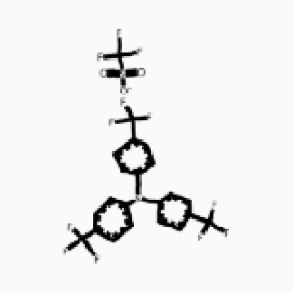 FC(F)(F)c1ccc([S+](c2ccc(C(F)(F)F)cc2)c2ccc(C(F)(F)F)cc2)cc1.O=S(=O)([O-])C(F)(F)F